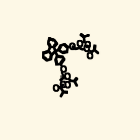 C=C(C)C(=O)OCC(COc1ccc(C2(c3ccc(OC[C@H](COC(=O)C(=C)C)OC(=O)C(=C)C)cc3)c3ccccc3-c3ccccc32)cc1)OC(=O)C(=C)C